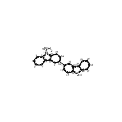 Nn1c2ccccc2c2cc(-c3ccc4sc5ccccc5c4c3)ccc21